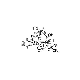 CC(=O)O[C@@]12COC1C[C@H](OS(=O)(=O)C(F)(F)F)[C@@]1(C)[C@H](O)[C@H](O)C3=C(C)[C@@H](O)C[C@@](O)([C@@H](OC(=O)c4ccccc4)[C@@H]12)C3(C)C